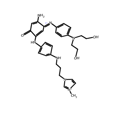 C[n+]1ccn(CCCNc2ccc(NC3=C/C(=N\c4ccc(N(CCO)CCO)cc4)C(N)=CC3=O)cc2)c1